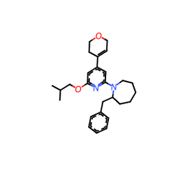 CC(C)COc1cc(C2=CCOCC2)cc(N2CCCCCC2Cc2ccccc2)n1